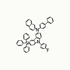 Fc1ccc(-n2c3ccc(N(c4ccc(-c5ccccc5)cc4)c4ccc5ccccc5c4)cc3c3cc([Si](c4ccccc4)(c4ccccc4)c4ccccc4)ccc32)cc1